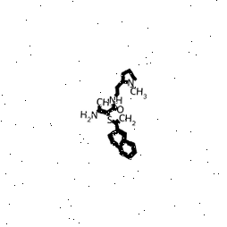 C=C(S/C(C(=O)NCCC1CCCN1C)=C(/C)N)c1ccc2ccccc2c1